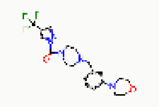 O=C(N1CCN(Cc2cccc(N3CCOCC3)c2)CC1)n1cc(C(F)(F)F)cn1